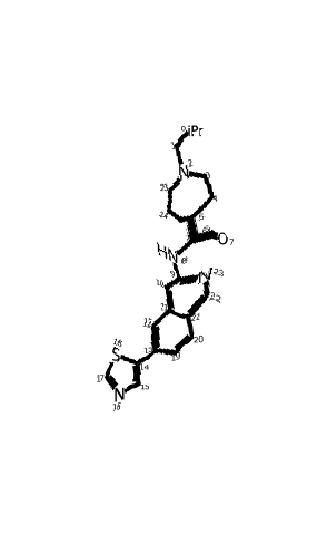 CC(C)CN1CCC(C(=O)Nc2cc3cc(-c4cncs4)ccc3cn2)CC1